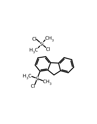 C[Si](C)(Cl)Cl.C[Si](C)(Cl)c1cccc2c1Cc1ccccc1-2